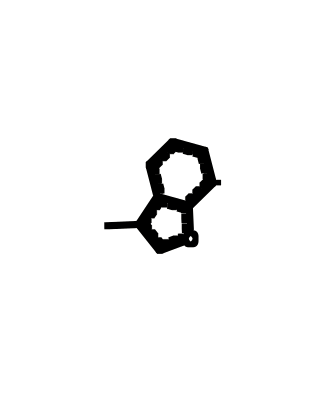 Cc1coc2[c]cccc12